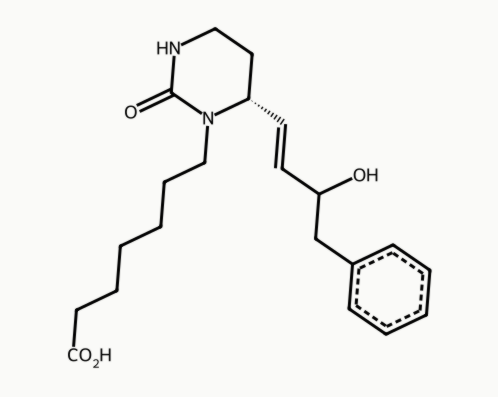 O=C(O)CCCCCCN1C(=O)NCC[C@@H]1/C=C/C(O)Cc1ccccc1